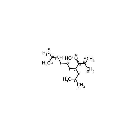 CC(C)CC(C[C@@H](O)CNC(C)C)C(=O)C(C)C